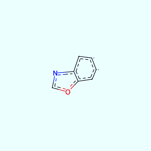 [c]1[c]cc2ocnc2c1